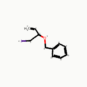 C=CC(CI)OCc1ccccc1